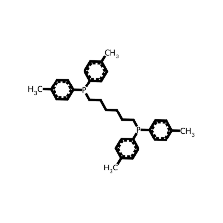 Cc1ccc(P(CCCCCCP(c2ccc(C)cc2)c2ccc(C)cc2)c2ccc(C)cc2)cc1